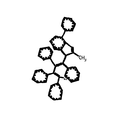 CC1=Cc2c(-c3ccccc3)cccc2C1C(=C(C(=[C]([Zr])c1ccccc1)c1ccccc1)c1ccccc1)c1ccccc1